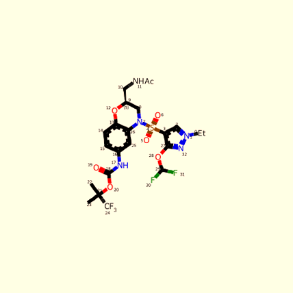 CCn1cc(S(=O)(=O)N2C[C@H](CNC(C)=O)Oc3ccc(NC(=O)OC(C)(C)C(F)(F)F)cc32)c(OC(F)F)n1